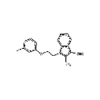 Cc1c(C=O)c2ccccc2n1CCOc1cccc(F)c1